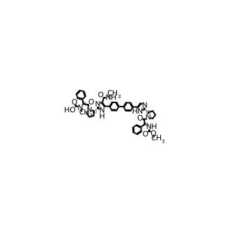 CNC(=O)c1nc([C@@H]2CCCN2C(=O)[C@@H](c2ccccc2)N(C)C(=O)O)[nH]c1-c1ccc(-c2ccc(-c3cnc([C@@H]4CCCN4C(=O)[C@H](NC(=O)OC)c4ccccc4)[nH]3)cc2)cc1